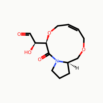 O=C[C@H](O)[C@H]1OC/C=C\COC[C@H]2CCCN2C1=O